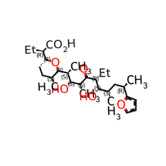 CC[C@@H](C(=O)[C@@H](C)[C@@H](O)[C@H](C)[C@@H]1O[C@@H]([C@@H](CC)C(=O)O)CC[C@@H]1C)[C@@H](O)[C@@H](C)C[C@@H](C)c1ccco1